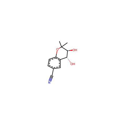 CC1(C)Oc2ccc(C#N)cc2[C@@H](O)[C@@H]1O